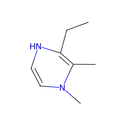 CCC1=C(C)N(C)C=CN1